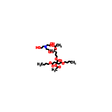 CC(=O)O.CCCCOC(=O)CC(CC(=O)OCCCC)(OC(C)=O)C(=O)OCCCC.OCCN(CCO)CCO